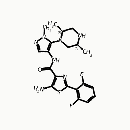 C[C@H]1CN(c2c(NC(=O)c3nc(-c4c(F)cccc4F)sc3N)cnn2C)[C@@H](C)CN1